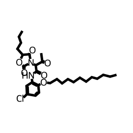 CCCCCCCCCCCCOc1ccc(Cl)cc1NC(=O)C(C(C)=O)N1C(=O)OC(CCCC)C1=O